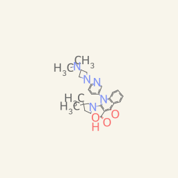 CN(C)C1CN(c2ccc(-n3c(N4CCC(C)(C)C4)c(C(=O)O)c(=O)c4ccccc43)cn2)C1